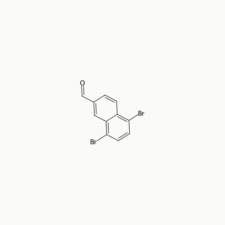 O=Cc1ccc2c(Br)ccc(Br)c2c1